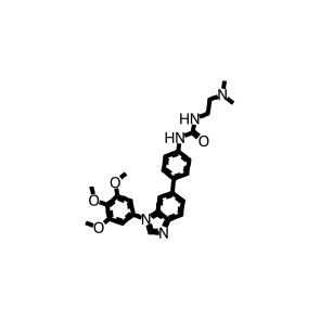 COc1cc(-n2cnc3ccc(-c4ccc(NC(=O)NCCN(C)C)cc4)cc32)cc(OC)c1OC